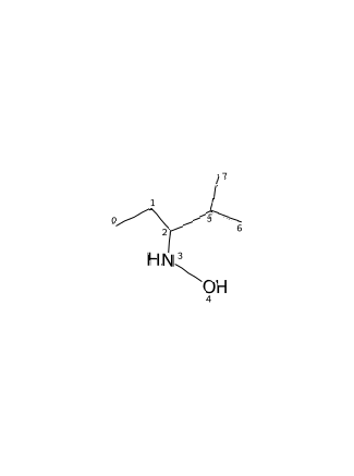 CCC(NO)C(C)C